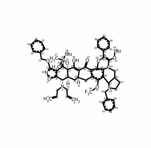 C=CCN(CC=C)[C@@H]1c2onc(OCc3ccccc3)c2C(=O)[C@@]2(O[Si](C)(C)C(C)(C)C)C(O)=C3C(=O)c4c(c(OC(F)(F)F)c5c(c4OCc4ccccc4)N(C(=O)OC(C)(C)C)CC4CCN(Cc6ccccc6)C54)C[C@H]3C[C@@H]12